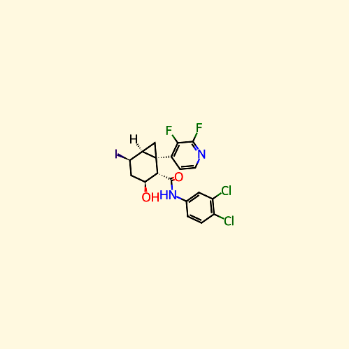 O=C(Nc1ccc(Cl)c(Cl)c1)[C@@H]1[C@@H](O)C[C@@H](I)[C@H]2C[C@]21c1ccnc(F)c1F